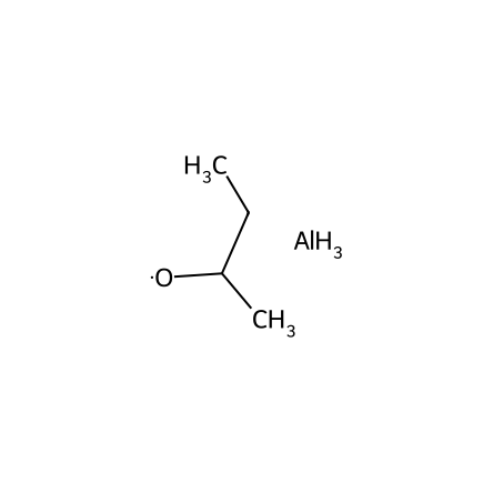 CCC(C)[O].[AlH3]